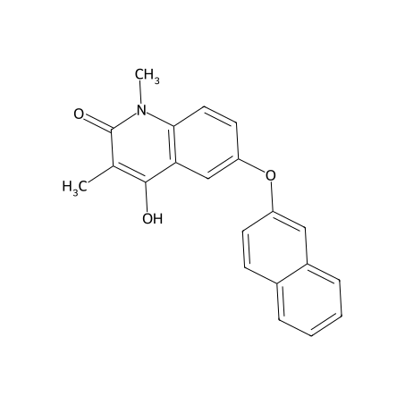 Cc1c(O)c2cc(Oc3ccc4ccccc4c3)ccc2n(C)c1=O